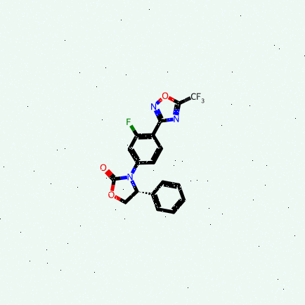 O=C1OC[C@@H](c2ccccc2)N1c1ccc(-c2noc(C(F)(F)F)n2)c(F)c1